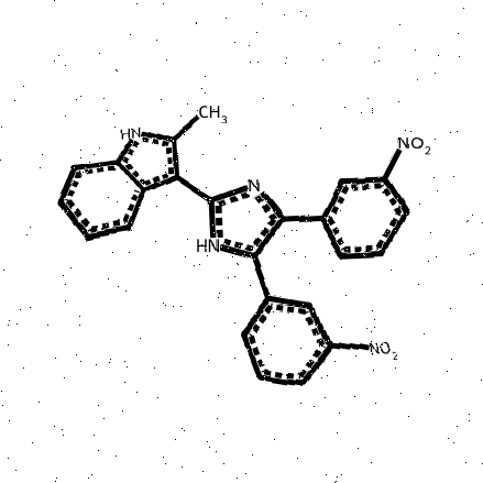 Cc1[nH]c2ccccc2c1-c1nc(-c2cccc([N+](=O)[O-])c2)c(-c2cccc([N+](=O)[O-])c2)[nH]1